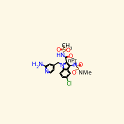 CCCN(c1c(C(=O)NS(C)(=O)=O)n(Cc2ccnc(N)c2)c2ccc(Cl)cc12)S(=O)(=O)NC